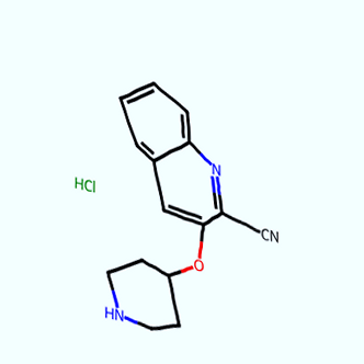 Cl.N#Cc1nc2ccccc2cc1OC1CCNCC1